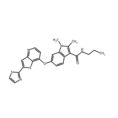 CCCNC(=O)c1c(C)n(C)c2cc(Oc3ccnc4cc(-c5nccs5)sc34)ccc12